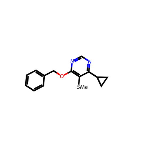 CSc1c(OCc2ccccc2)ncnc1C1CC1